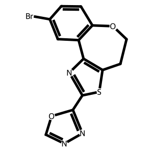 Brc1ccc2c(c1)-c1nc(-c3nnco3)sc1CCO2